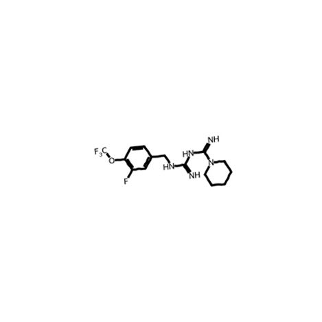 N=C(NCc1ccc(OC(F)(F)F)c(F)c1)NC(=N)N1CCCCC1